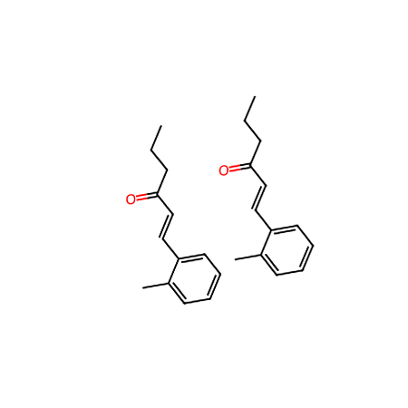 CCCC(=O)C=Cc1ccccc1C.CCCC(=O)C=Cc1ccccc1C